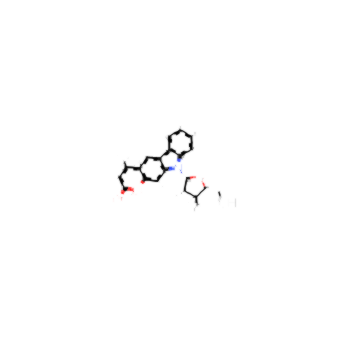 CC[C@H]1O[C@@H](n2c3ccccc3c3cc4c(C)cc(=O)oc4cc32)CC1C